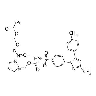 Cc1ccc(-c2cc(C(F)(F)F)nn2-c2ccc(S(=O)(=O)NC(=O)OC[C@@H]3CCCN3[N+]([O-])=NOCOC(=O)C(C)C)cc2)cc1